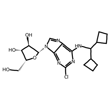 OC[C@H]1O[C@@H](n2cnc3c(NC(C4CCC4)C4CCC4)nc(Cl)nc32)[C@H](O)[C@H]1O